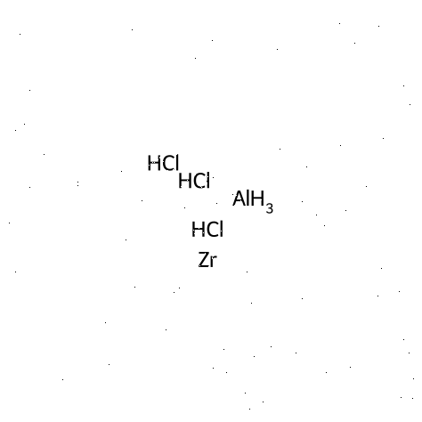 Cl.Cl.Cl.[AlH3].[Zr]